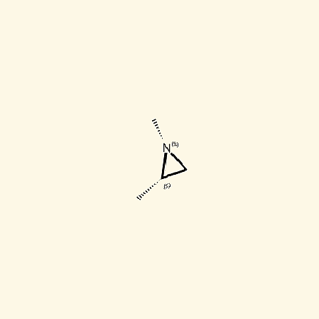 C[C@H]1C[N@@]1C